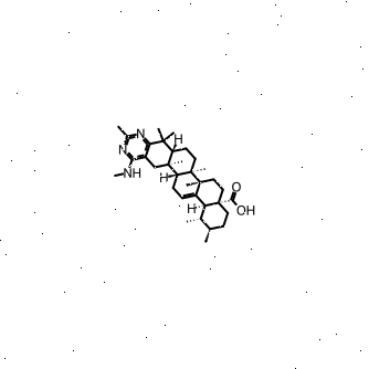 CNc1nc(C)nc2c1C[C@]1(C)[C@H]3CC=C4[C@@H]5[C@@H](C)[C@H](C)CC[C@]5(C(=O)O)CC[C@@]4(C)[C@]3(C)CC[C@H]1C2(C)C